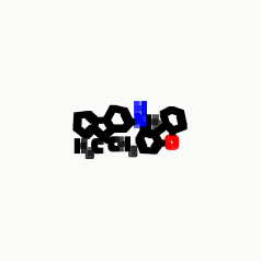 CC1(C)C2=CC(Nc3cccc4c3[C@H]3CCC=CC3O4)=CCC2c2ccccc21